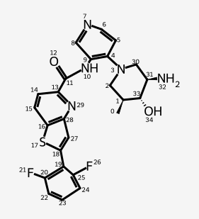 C[C@H]1CN(c2ccncc2NC(=O)c2ccc3sc(-c4c(F)cccc4F)cc3n2)C[C@@H](N)[C@@H]1O